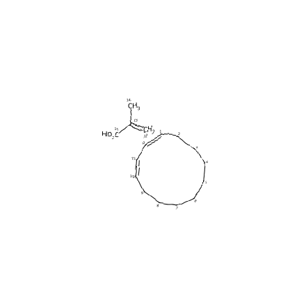 C1=CCCCCCCCCC=C1.C=C(C)C(=O)O